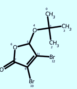 CC(C)(C)OC1OC(=O)C(Br)=C1Br